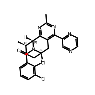 Cc1nc(-c2cnccn2)c2c(n1)[C@H]1[C@H](C)CC[C@@H](C2)N1C(=O)c1cccc(Cl)c1Cl